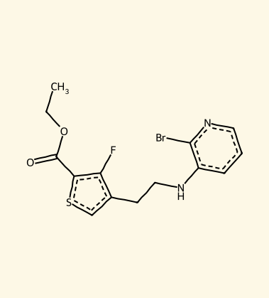 CCOC(=O)c1scc(CCNc2cccnc2Br)c1F